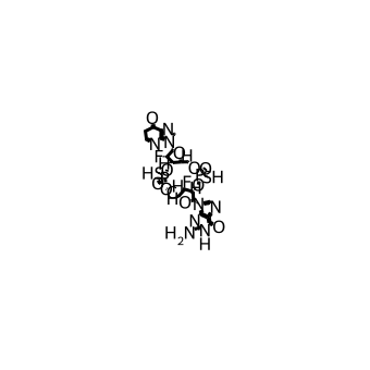 Nc1nc2c(ncn2[C@@H]2O[C@@H]3CO[P@@](=O)(S)O[C@H]4[C@H](F)[C@H](n5cnc6c5N=CCC6=O)O[C@@H]4CO[P@@](=O)(S)O[C@@H]2[C@H]3F)c(=O)[nH]1